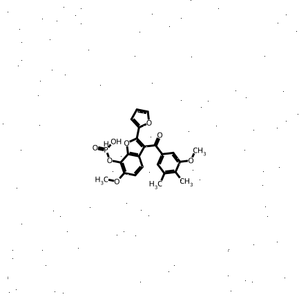 COc1cc(C(=O)c2c(-c3ccco3)oc3c(O[PH](=O)O)c(OC)ccc23)cc(C)c1C